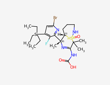 CC[Si](CC)(CC)c1cc(Br)nc([C@@]2(C)N=C(NC(=O)O)C(C)(C)[SH]3(=O)NCCC[C@@H]23)c1F